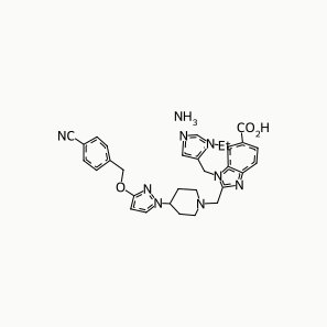 CCn1cncc1Cn1c(CN2CCC(n3ccc(OCc4ccc(C#N)cc4)n3)CC2)nc2ccc(C(=O)O)cc21.N